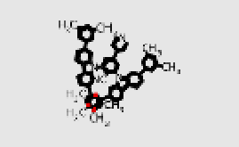 Cc1cc(C)cc(-c2ccc3c4ccc(-c5cc(C)cc(C)c5)cc4n(-c4cc(-c5ccncc5)cc(-n5c6cc(-c7cc(C)cc(C)c7)ccc6c6ccc(-c7cc(C)cc(C)c7)cc65)c4C#N)c3c2)c1